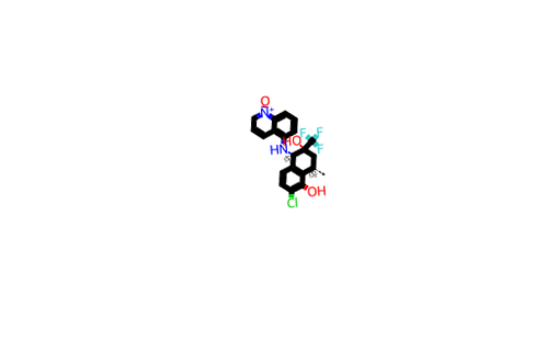 C[C@H]1C[C@](O)(C(F)(F)F)[C@@H](Nc2cccc3c2C=CC[N+]3=O)c2ccc(Cl)c(O)c21